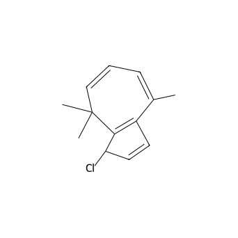 CC1=CC=CC(C)(C)C2=C1C=CC2Cl